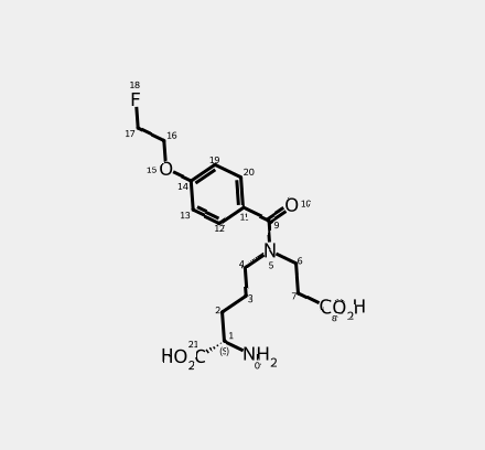 N[C@@H](CCCN(CCC(=O)O)C(=O)c1ccc(OCCF)cc1)C(=O)O